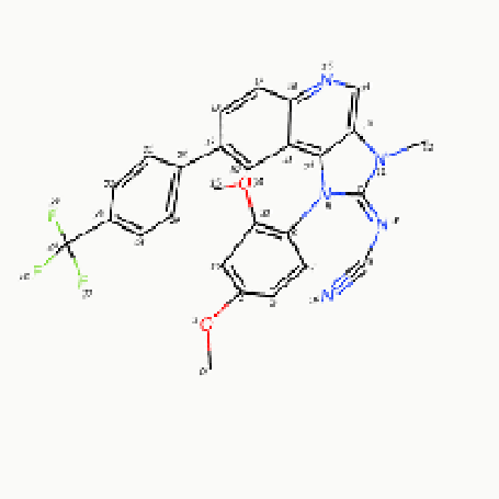 COc1ccc(-n2c(=NC#N)n(C)c3cnc4ccc(-c5ccc(C(F)(F)F)cc5)cc4c32)c(OC)c1